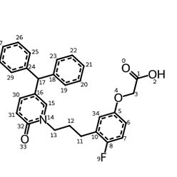 O=C(O)COc1ccc(F)c(CCCn2cc(C(c3ccccc3)c3ccccc3)ccc2=O)c1